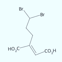 O=C(O)/C=C(\CCC(Br)Br)C(=O)O